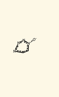 [O-][n+]1ccnnn1